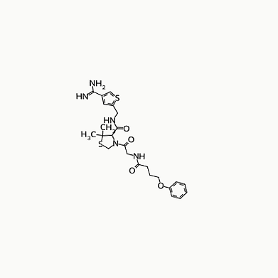 CC1(C)SCN(C(=O)CNC(=O)CCCOc2ccccc2)C1C(=O)NCc1cc(C(=N)N)cs1